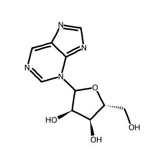 OC[C@H]1OC(n2cncc3ncnc2-3)[C@H](O)[C@@H]1O